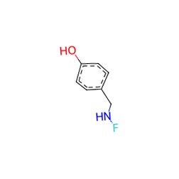 Oc1ccc(CNF)cc1